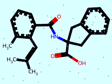 CC(C)=Cc1c(C)cccc1C(=O)NC1(C(=O)O)Cc2ccccc2C1